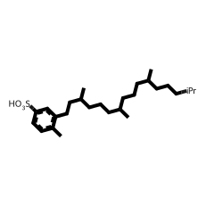 Cc1ccc(S(=O)(=O)O)cc1CCC(C)CCCC(C)CCCC(C)CCCC(C)C